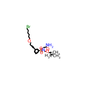 C[Si](C)(C)CCOCN(CC(N)=O)S(=O)(=O)c1cccc(C#CCCOCCCCCCBr)c1